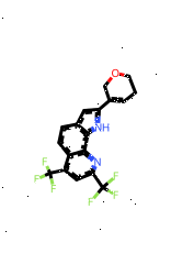 FC(F)(F)c1cc(C(F)(F)F)c2ccc3cc(C4=CCCOC4)[nH]c3c2n1